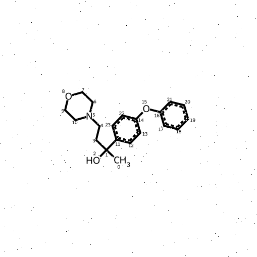 CC(O)(CCN1CCOCC1)c1ccc(Oc2ccccc2)cc1